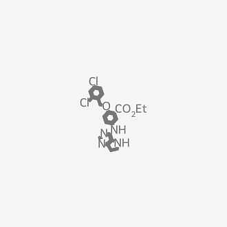 CCOC(=O)c1cc(Nc2ncnc3c2NCC3)ccc1OCc1ccc(Cl)cc1Cl